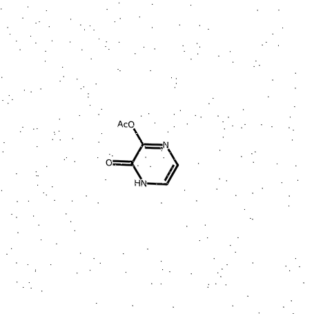 CC(=O)Oc1ncc[nH]c1=O